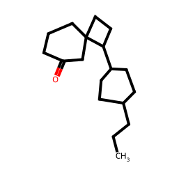 CCCC1CCC(C2CCC23CCCC(=O)C3)CC1